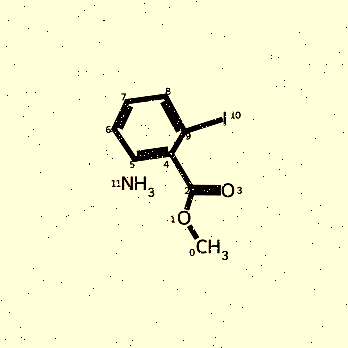 COC(=O)c1ccccc1I.N